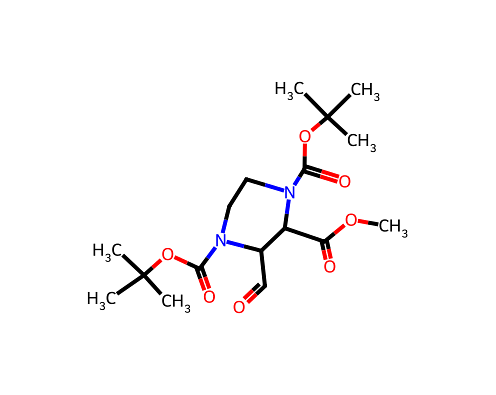 COC(=O)C1C(C=O)N(C(=O)OC(C)(C)C)CCN1C(=O)OC(C)(C)C